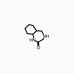 O=C1CNCC2CCCCC2N1